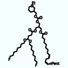 CCCCC/C=C\C/C=C\CCCCCCCC(=O)OCC(COC(=O)CCC(OCCCCCCCCF)OCCCCCCCCF)COC(=O)OCC1CCCN(CC)C1